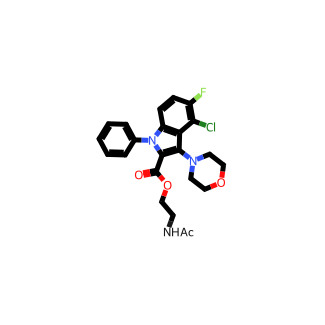 CC(=O)NCCOC(=O)c1c(N2CCOCC2)c2c(Cl)c(F)ccc2n1-c1ccccc1